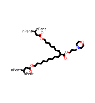 CCCCCC(CCCCC)CC(=O)OCCCCCCCCCC(CCCCCCCOC(=O)CC(CCCCC)CCCCC)C(=O)OCCCN1CCOCC1